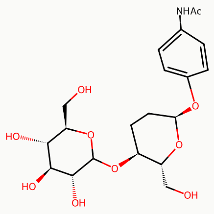 CC(=O)Nc1ccc(O[C@@H]2CC[C@H](OC3O[C@H](CO)[C@@H](O)[C@H](O)[C@H]3O)[C@@H](CO)O2)cc1